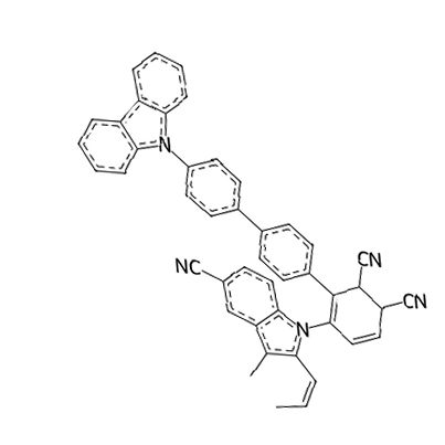 C/C=C\c1c(C)c2cc(C#N)ccc2n1C1=C(c2ccc(-c3ccc(-n4c5ccccc5c5ccccc54)cc3)cc2)C(C#N)C(C#N)C=C1